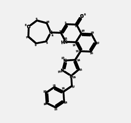 O=c1cc(N2CCCOCC2)[nH]c2c(-c3cn(Cc4ccccc4)nn3)cccc12